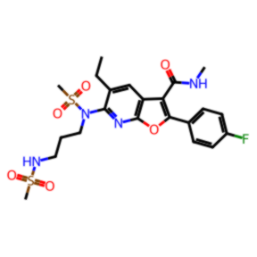 CCc1cc2c(C(=O)NC)c(-c3ccc(F)cc3)oc2nc1N(CCCNS(C)(=O)=O)S(C)(=O)=O